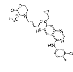 C[C@@H]1C(=O)OCCN1CC=CC(=O)Nc1cc2c(Nc3ccc(F)c(Cl)c3)ncnc2cc1OCC1CC1